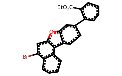 CCOC(=O)c1ccccc1-c1ccc2c(c1)oc1cc(Br)c3ccccc3c12